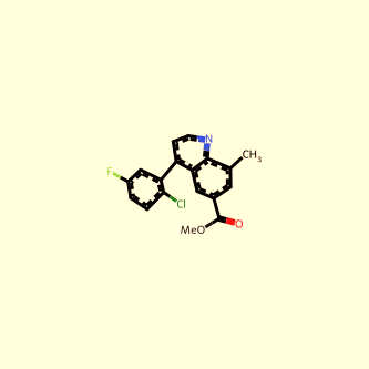 COC(=O)c1cc(C)c2nccc(-c3cc(F)ccc3Cl)c2c1